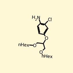 CCCCCCOCC(COCCCCCC)Oc1ccc(N)c(Cl)c1